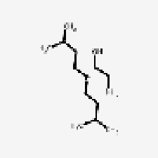 CC(C)CC[P]CCC(C)C.NCCO